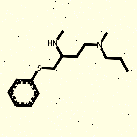 CCCN(C)CCC(CSc1ccccc1)NC